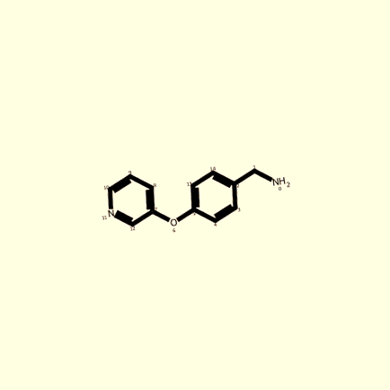 NCc1ccc(Oc2cccnc2)cc1